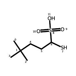 CC(C)(C)CCC(S)S(=O)(=O)O